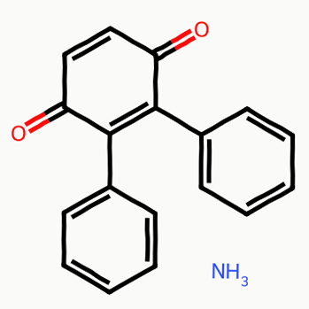 N.O=C1C=CC(=O)C(c2ccccc2)=C1c1ccccc1